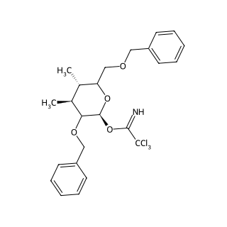 C[C@@H]1C(COCc2ccccc2)O[C@@H](OC(=N)C(Cl)(Cl)Cl)C(OCc2ccccc2)[C@H]1C